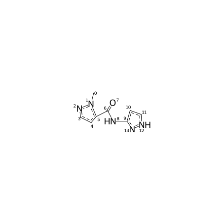 Cn1nccc1C(=O)Nc1cc[nH]n1